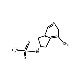 CC1=C2C[C@H](NS(N)(=O)=O)CN2C=NC1